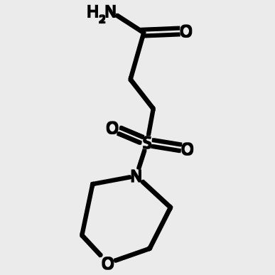 NC(=O)CCS(=O)(=O)N1CCOCC1